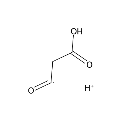 O=[C]CC(=O)O.[H+]